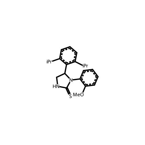 COc1ccccc1N1C(=S)NCC1c1c(C(C)C)cccc1C(C)C